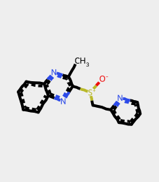 Cc1nc2ccccc2nc1[S+]([O-])Cc1ccccn1